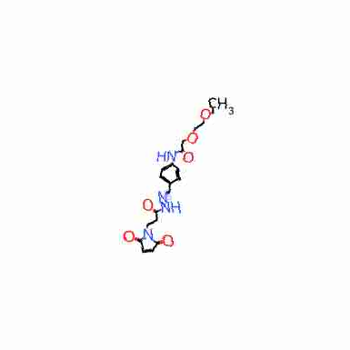 CCOCCOCC(=O)Nc1ccc(/C=N/NC(=O)CCN2C(=O)C=CC2=O)cc1